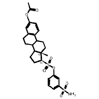 CC(=O)Oc1ccc2c(c1)CCC1C2CC[C@@]2(C)C1CC[C@@H]2S(=O)(=O)Oc1cccc(S(N)(=O)=O)c1